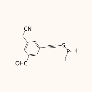 N#CCc1cc(C#CSP(I)I)cc(C=O)c1